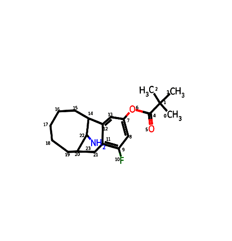 CC(C)(C)C(=O)Oc1cc(F)c2c(c1)C1CCCCCC(C2)C1N